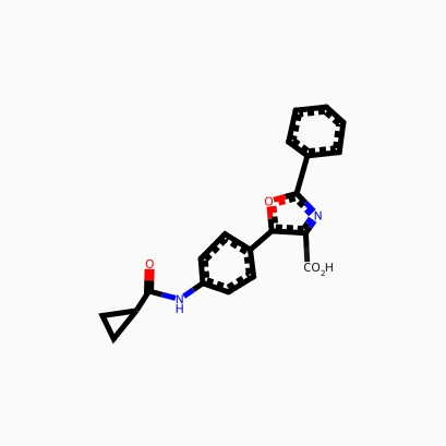 O=C(O)c1nc(-c2ccccc2)oc1-c1ccc(NC(=O)C2CC2)cc1